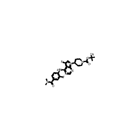 CN(C)C(=O)c1ccc(Nc2ncnc3c2c(F)cn3C2CCN(C(=O)OC(C)(C)C#N)CC2)c(F)c1